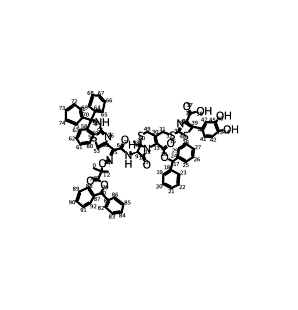 CC(C)(ON=C(C(=O)N[C@@H]1C(=O)N2C(C(=O)OC(c3ccccc3)c3ccccc3)=C(CSc3nc(C(=O)O)c(-c4ccc(O)c(O)c4)s3)CS[C@@H]12)c1csc(NC(c2ccccc2)(c2ccccc2)c2ccccc2)n1)C(=O)OC(c1ccccc1)c1ccccc1